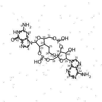 Nc1nc2c(ncn2C2OC3COP(O)OC4C(COP(O)OC2C3CCS)OC(n2cnc3c(N)ncnc32)C4O)c(=O)[nH]1